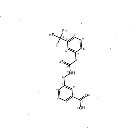 O=C(O)c1cccc(CNC(=S)Cc2cccc(C(F)(F)F)c2)c1